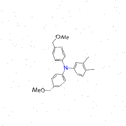 COCc1ccc(N(c2ccc(COC)cc2)c2ccc(C)c(C)c2)cc1